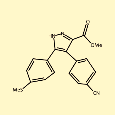 COC(=O)c1n[nH]c(-c2ccc(SC)cc2)c1-c1ccc(C#N)cc1